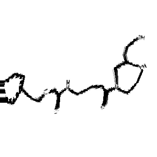 O=C(NCCC(=O)N1CCNC(CO)C1)OCc1ccccc1